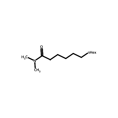 CCCCCCCCCC[CH]C(=O)N(C)C